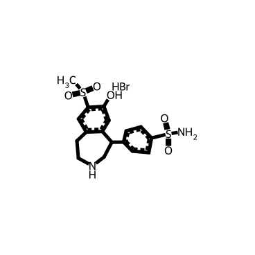 Br.CS(=O)(=O)c1cc2c(cc1O)C(c1ccc(S(N)(=O)=O)cc1)CNCC2